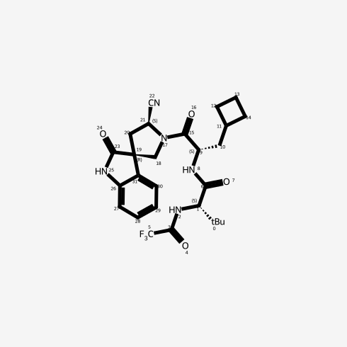 CC(C)(C)[C@H](NC(=O)C(F)(F)F)C(=O)N[C@@H](CC1CCC1)C(=O)N1C[C@]2(C[C@H]1C#N)C(=O)Nc1ccccc12